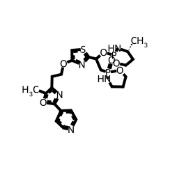 Cc1oc(-c2ccncc2)nc1CCOc1csc(C(CP2(=O)NCCCO2)OP2N[C@H](C)CCO2)n1